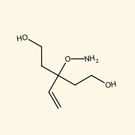 C=CC(CCO)(CCO)ON